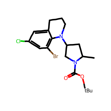 CC1CC(N2CCCc3cc(Cl)cc(Br)c32)CN1C(=O)OC(C)(C)C